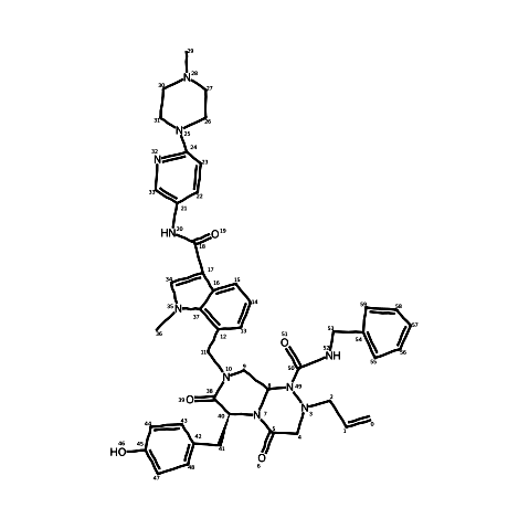 C=CCN1CC(=O)N2C(CN(Cc3cccc4c(C(=O)Nc5ccc(N6CCN(C)CC6)nc5)cn(C)c34)C(=O)[C@@H]2Cc2ccc(O)cc2)N1C(=O)NCc1ccccc1